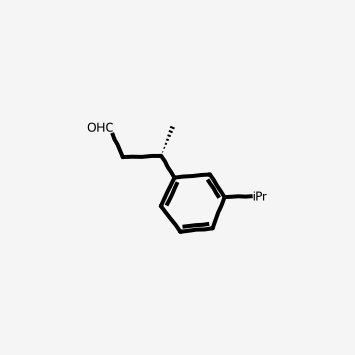 CC(C)c1cccc([C@@H](C)CC=O)c1